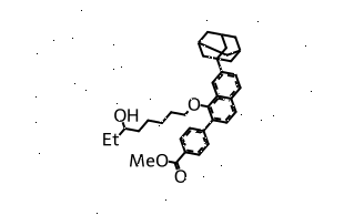 CCC(O)CCCCCOc1c(-c2ccc(C(=O)OC)cc2)ccc2ccc(C34CC5CC(CC(C5)C3)C4)cc12